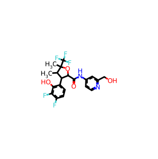 CC1C(c2ccc(F)c(F)c2O)C(C(=O)Nc2ccnc(CO)c2)OC1(C)C(F)(F)F